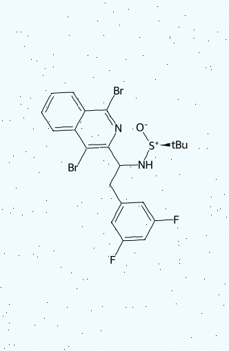 CC(C)(C)[S@+]([O-])NC(Cc1cc(F)cc(F)c1)c1nc(Br)c2ccccc2c1Br